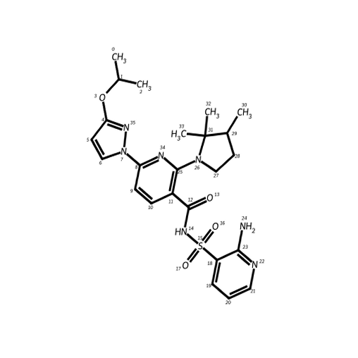 CC(C)Oc1ccn(-c2ccc(C(=O)NS(=O)(=O)c3cccnc3N)c(N3CCC(C)C3(C)C)n2)n1